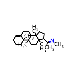 C/N=C(\C)C1CCC2(C)C3CCC4=CCCCC4(C)C3(C)CCC12C